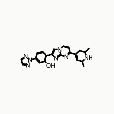 CC1C=C(c2ccn3cc(-c4ccc(-n5nccn5)cc4O)nc3n2)CC(C)N1